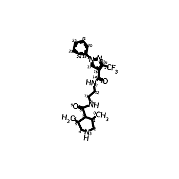 CC1CNCC(C)C1C(=O)NCCNC(=O)c1cn(-c2ccccc2)nc1C(F)(F)F